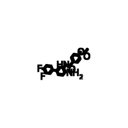 CC(=O)Oc1ccc(C(=O)Nc2cc(-c3ccc(F)c(F)c3)ccc2N)cc1